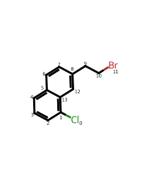 Clc1cccc2ccc(CCBr)cc12